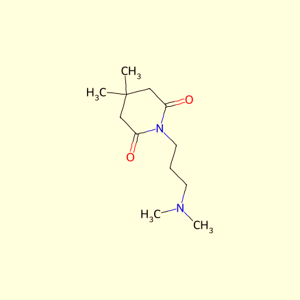 CN(C)CCCN1C(=O)CC(C)(C)CC1=O